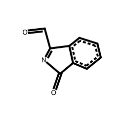 O=CC1=NC(=O)c2ccccc21